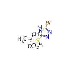 CC(C)(Sc1nnc(Br)[nH]1)C(=O)O